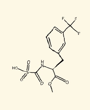 COC(=O)[C@H](Cc1cccc(C(F)(F)F)c1)NC(=O)S(=O)(=O)O